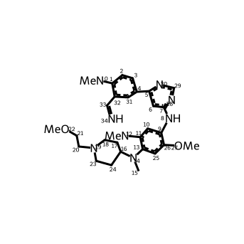 CNc1ccc(-c2cc(Nc3cc(NC)c(N(C)C4CCN(CCOC)CC4)cc3OC)ncn2)cc1C=N